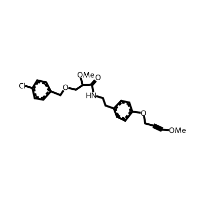 COC#CCOc1ccc(CCNC(=O)C(COCc2ccc(Cl)cc2)OC)cc1